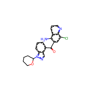 Nc1c(C(=O)c2cccc3c2cnn3C2CCCCO2)cc(Cl)c2ncccc12